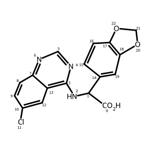 O=C(O)C(Nc1ncnc2ccc(Cl)cc12)c1ccc2c(c1)OCO2